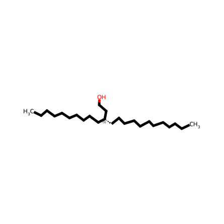 CCCCCCCCCCCC[C@@H](CCO)CCCCCCCCCC